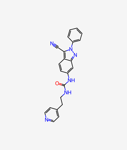 N#Cc1c2ccc(NC(=O)NCCc3ccncc3)cc2nn1-c1ccccc1